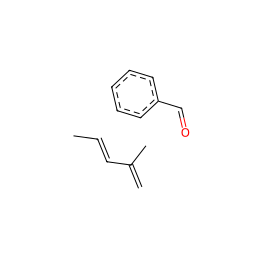 C=C(C)C=CC.O=Cc1ccccc1